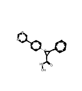 O=C(NO)C1C(c2ccccc2)[C@H]1c1ccc(-c2cncnc2)cc1